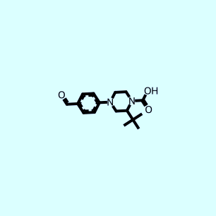 CC(C)(C)C1CN(c2ccc(C=O)cc2)CCN1C(=O)O